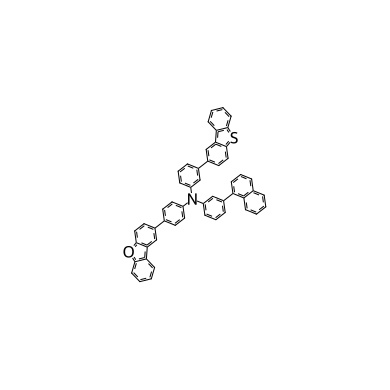 c1cc(-c2ccc3sc4ccccc4c3c2)cc(N(c2ccc(-c3ccc4oc5ccccc5c4c3)cc2)c2cccc(-c3cccc4ccccc34)c2)c1